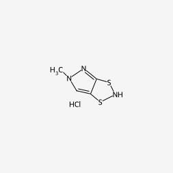 Cl.Cn1cc2c(n1)SNS2